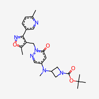 Cc1ccc(-c2noc(C)c2Cn2ncc(N(C)C3CN(C(=O)OC(C)(C)C)C3)cc2=O)cn1